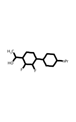 CCCC1CCC(C2CCC(C(C)O)C(F)C2F)CC1